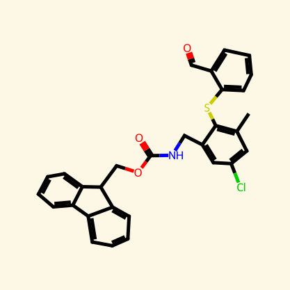 Cc1cc(Cl)cc(CNC(=O)OCC2c3ccccc3-c3ccccc32)c1Sc1ccccc1C=O